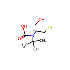 CC(C)(C)N(C(=O)O)[C@H](CO)CS